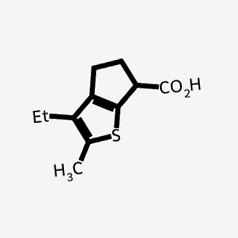 CCc1c(C)sc2c1CCC2C(=O)O